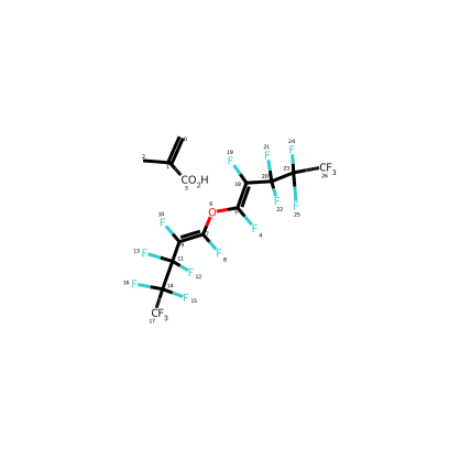 C=C(C)C(=O)O.FC(OC(F)=C(F)C(F)(F)C(F)(F)C(F)(F)F)=C(F)C(F)(F)C(F)(F)C(F)(F)F